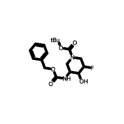 CC(C)(C)OC(=O)N1CC(F)C(O)C(NC(=O)OCc2ccccc2)C1